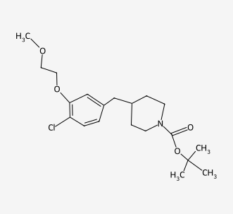 COCCOc1cc(CC2CCN(C(=O)OC(C)(C)C)CC2)ccc1Cl